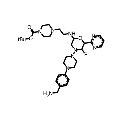 CC(C)(C)OC(=O)N1CCN(CCNC2CN(N3CCN(c4ccc(CN)cc4)CC3)C(F)C(c3ncccn3)O2)CC1